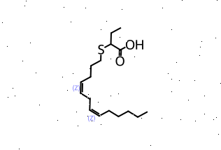 CCCCC/C=C\C/C=C\CCCSC(CC)C(=O)O